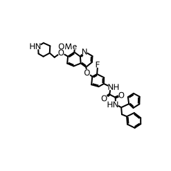 COc1c(OCC2CCNCC2)ccc2c(Oc3ccc(NC(=O)C(=O)NC(Cc4ccccc4)c4ccccc4)cc3F)ccnc12